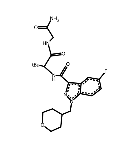 CC(C)(C)C(NC(=O)c1nn(CC2CCOCC2)c2ccc(F)cc12)C(=O)NCC(N)=O